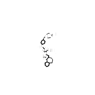 CN1CCN(Cc2ccc(Nc3nc(N)n(-c4cc5c(nn4)-c4ccccc4CCC5)n3)cc2)CC1